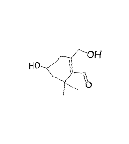 CC1(C)CC(O)CC(CO)=C1C=O